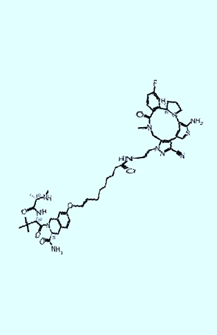 CN[C@@H](C)C(=O)N[C@H](C(=O)N1Cc2cc(OCCCCCCCCC(=O)NCCn3nc(C#N)c4c3CN(C)C(=O)c3ccc(F)cc3[C@H]3CCCN3c3cc-4cnc3N)ccc2C[C@H]1C(N)=O)C(C)(C)C